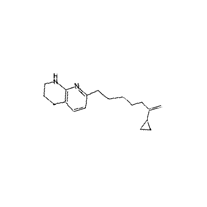 C=C(CCCCCc1ccc2c(n1)NCCC2)C1CC1